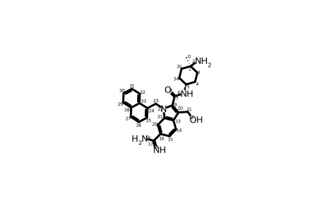 C[C@]1(N)CC[C@@H](NC(=O)c2c(CO)c3ccc(C(=N)N)cc3n2Cc2cccc3ccccc23)CC1